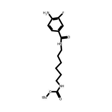 CC(C)(C)OC(=O)NCCCCCCNC(=O)c1ccc(N)c(F)c1